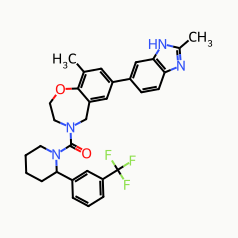 Cc1nc2ccc(-c3cc(C)c4c(c3)CN(C(=O)N3CCCCC3c3cccc(C(F)(F)F)c3)CCO4)cc2[nH]1